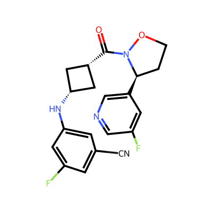 N#Cc1cc(F)cc(N[C@H]2C[C@@H](C(=O)N3OCC[C@H]3c3cncc(F)c3)C2)c1